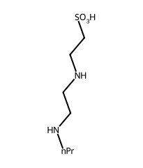 CCCNCCNCCS(=O)(=O)O